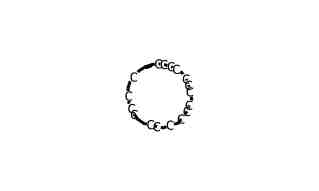 C1=CCCCCCCCCCCCCCCCCCCCCCCCCCCC1